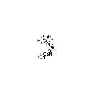 [Cd].[GaH3].[GeH4].[O]=[Pb].[SnH4].[Zn]